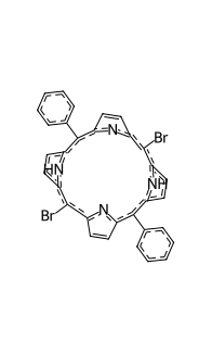 Brc1c2nc(c(-c3ccccc3)c3ccc([nH]3)c(Br)c3nc(c(-c4ccccc4)c4ccc1[nH]4)C=C3)C=C2